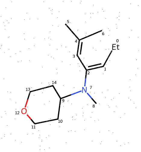 CC/C=C(\C=C(C)C)N(C)C1CCOCC1